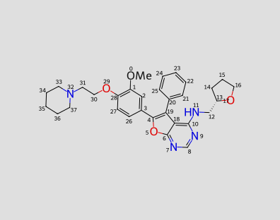 COc1cc(-c2oc3ncnc(NC[C@@H]4CCCO4)c3c2-c2ccccc2)ccc1OCCN1CCCCC1